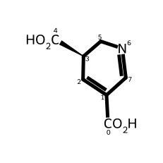 O=C(O)C1=C[C@@H](C(=O)O)CN=C1